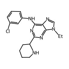 CCn1cnc2c(Nc3cccc(Cl)c3)nc(C3CCCCN3)nc21